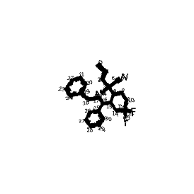 C=CCC(C#N)(C#N)C1=CCC(F)(F)CC1C(/C=C/c1ccccc1)c1ccccc1